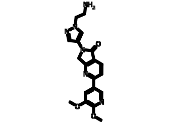 COc1cc(-c2ccc3c(n2)CN(c2cnn(CCN)c2)C3=O)cnc1OC